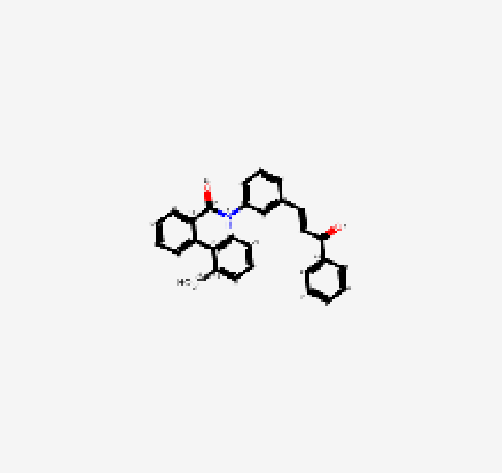 O=C(C=Cc1cccc(NC(=O)c2ccccc2-c2ccccc2C(=O)O)c1)c1ccccc1